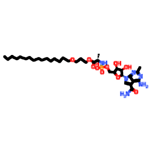 CCCCCCCCCCCCCCCCOCCCOC(=O)[C@H](C)NP(=O)(O)OCC1O[C@@H](n2cc(C(N)=O)c3c(N)nc(C)nc32)[C@H](O)[C@@H]1O